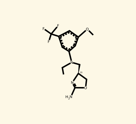 CCN(C[C@H]1COC(N)=N1)c1cc(OC)cc(C(F)(F)F)c1